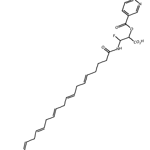 CCC=CCC=CCC=CCC=CCC=CCCCC(=O)NC(F)C(OC(=O)c1cccnc1)C(=O)O